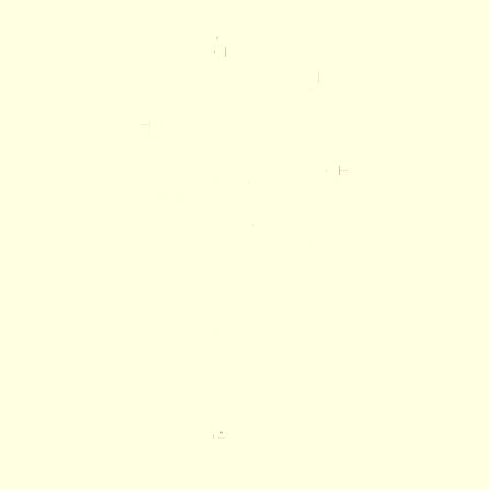 CC(=O)OCCCCCC(=O)c1c(C)c(O)c(C)c(C)c1O